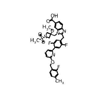 COC1(Cn2c(Cc3cc(F)c(-c4cccc(OCc5ccc(C)cc5F)n4)cc3F)nc3ccc(C(=O)O)cc32)CN(S(C)(=O)=O)C1